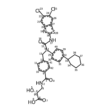 O=C(NC[C@@H](O)C(=O)O)c1ccc(CN(C(=O)Nc2nc3cc(Cl)c(Cl)cc3s2)c2ccc(C3CCCCC3)cc2)cc1